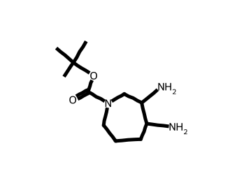 CC(C)(C)OC(=O)N1CCCC(N)C(N)C1